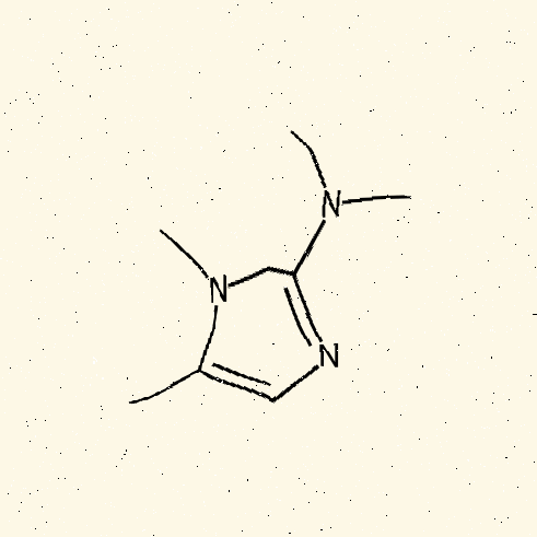 Cc1cnc(N(C)C)n1C